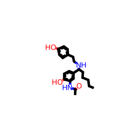 CCCCCC(NCCc1ccc(O)cc1)c1ccc(O)c(NC(C)=O)c1